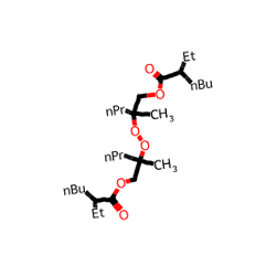 CCCCC(CC)C(=O)OCC(C)(CCC)OOC(C)(CCC)COC(=O)C(CC)CCCC